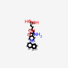 N[C@](CCCCB(O)O)(C(=O)O)C1CCN(C2CCCc3ccccc32)CC1